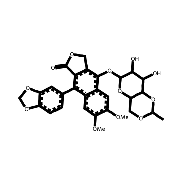 COc1cc2c(OC3OC4COC(C)OC4C(O)C3O)c3c(c(-c4ccc5c(c4)OCO5)c2cc1OC)C(=O)OC3